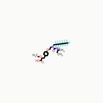 CCOC(Cc1ccc(OCCN(CC(F)(F)C(F)(F)C(F)(F)C(F)(F)C(F)(F)C(F)(F)F)C(=O)NC(C)CC)cc1)C(=O)O